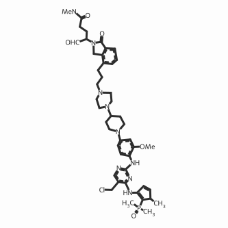 CNC(=O)CCC(C=O)N1Cc2c(CCCN3CCN(C4CCN(c5ccc(Nc6ncc(CCl)c(NC7=C(P(C)(C)=O)C(C)C=C7)n6)c(OC)c5)CC4)CC3)cccc2C1=O